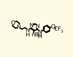 CCCCc1c(NCCN2CCOCC2)ncnc1Nc1ccc(OC(F)(F)F)cc1